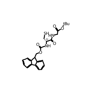 CC(C)(C)OC(=O)CNC(=O)[C@@H](CS)NC(=O)OCC1c2ccccc2-c2ccccc21